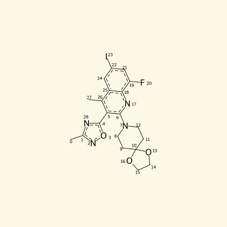 Cc1noc(-c2c(N3CCC4(CC3)OCCO4)nc3c(F)cc(I)cc3c2C)n1